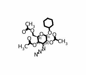 CC(=O)OC[C@H]1O[C@H](OC2CCCCC2)[C@H](OC(C)=O)[C@@H](N=[N+]=[N-])[C@H]1OC(C)=O